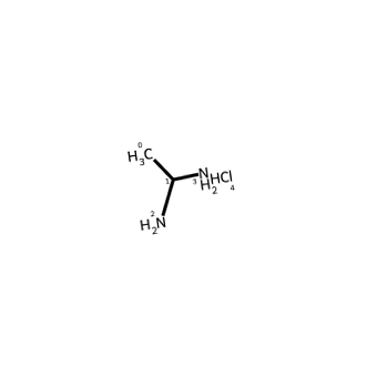 CC(N)N.Cl